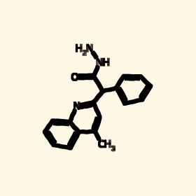 Cc1cc(C(C(=O)NN)c2ccccc2)nc2ccccc12